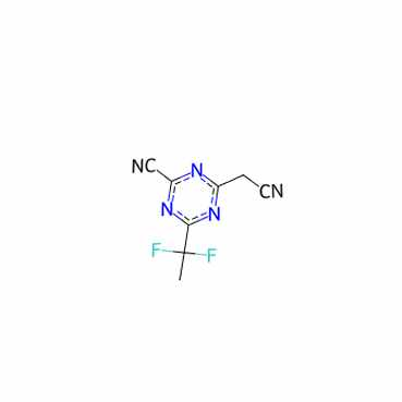 CC(F)(F)c1nc(C#N)nc(CC#N)n1